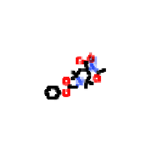 COC(=O)C1(NC(C)=O)CC(C)(C)N(CC(=O)Oc2ccccc2)C(C)(C)C1